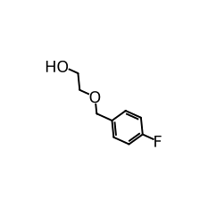 OCCOCc1ccc(F)cc1